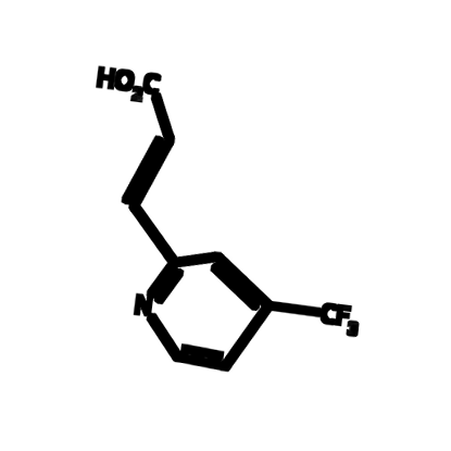 O=C(O)C=Cc1cc(C(F)(F)F)ccn1